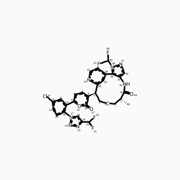 C[C@@H]1CCC[C@@H](c2ccc(-c3cc(Cl)ccc3-n3cc(C(F)F)nn3)oc2=O)c2cc(ccn2)-c2c(cnn2C(F)F)NC1=O